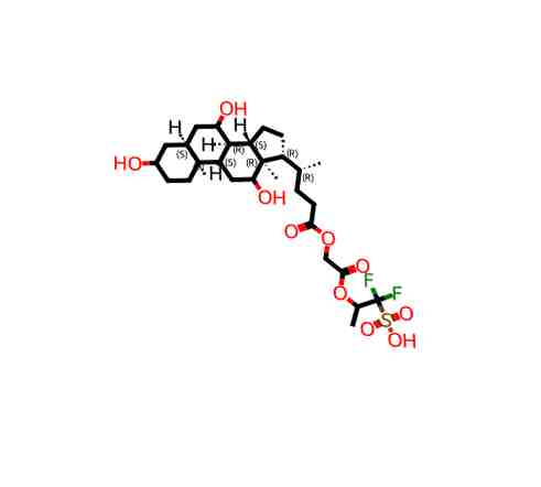 CC(OC(=O)COC(=O)CC[C@@H](C)[C@H]1CC[C@H]2[C@@H]3C(O)C[C@@H]4CC(O)CC[C@]4(C)[C@H]3CC(O)[C@]12C)C(F)(F)S(=O)(=O)O